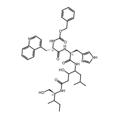 CCC(C)[C@@H](CO)NC(=O)CC(O)C(CC(C)C)NC(=O)[C@H](Cc1c[nH]cn1)NC(=O)[C@H](Cc1ccnc2ccccc12)NC(=O)OCc1ccccc1